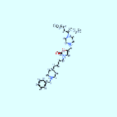 CCOC(=O)CC(C(=O)OCC)N1CCN(CC2CN(CCCCC3CCN(Cc4ccccc4)CC3)C(=O)O2)CC1